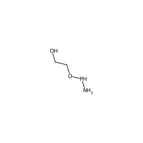 NPOCCO